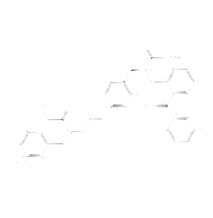 COC(=O)[C@H](Cc1ccc(OCCN(Cc2cccc(C)c2)C(=O)CC(C)C)cc1)Nc1ccccc1C(=O)c1ccccc1